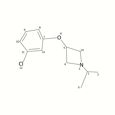 CC(C)N1CC(Oc2cccc(Cl)c2)C1